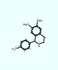 COc1cc2c(cc1OC)C(c1ccc(C)cc1)NCC2